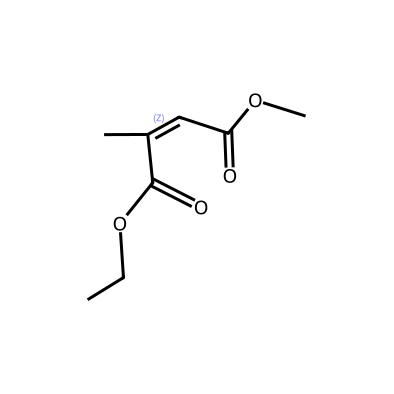 CCOC(=O)/C(C)=C\C(=O)OC